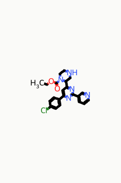 CCOC(=O)N1CCNCC1c1cc(-c2ccc(Cl)cc2)nc(-c2cccnc2)n1